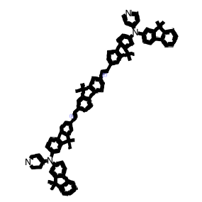 CC1(C)c2cc(/C=C/c3ccc4c(c3)C(C)(C)c3cc(N(C5=CC=NCC5)c5ccc6c(c5)C(C)(C)c5ccccc5-6)ccc3-4)ccc2-c2ccc(/C=C/c3ccc4c(c3)C(C)(C)c3cc(N(c5ccncc5)c5ccc6c(c5)C(C)(C)c5ccccc5-6)ccc3-4)cc21